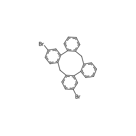 Brc1ccc2c(c1)-c1ccccc1Cc1ccccc1-c1cc(Br)ccc1C2